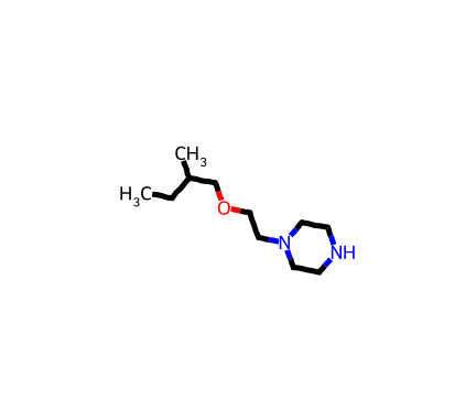 CCC(C)COCCN1CCNCC1